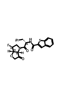 CC(C)C[C@H](NC(=O)c1cc2ccccc2s1)C(=O)N1C[C@H](F)[C@H]2OCC(=O)[C@H]21